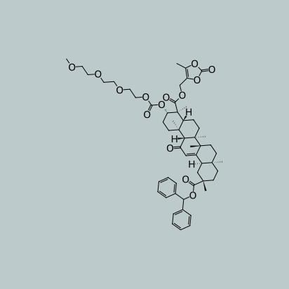 COCCOCCOCCOC(=O)O[C@H]1CC[C@@]2(C)[C@@H](CC[C@]3(C)[C@@H]2C(=O)C=C2[C@@H]4C[C@@](C)(C(=O)OC(c5ccccc5)c5ccccc5)CC[C@]4(C)CC[C@]23C)[C@]1(C)C(=O)OCc1oc(=O)oc1C